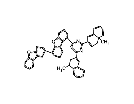 CC1CC(c2nc(C3=CCC4(C)C=CC=CC4=C3)nc(-c3cccc4oc5c(-c6ccc7oc8ccccc8c7c6)cccc5c34)n2)=Cc2ccccc21